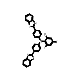 Fc1cc(F)c(N(c2ccc(-c3nc4ccccc4s3)cc2)c2ccc(-c3nc4ccccc4s3)cc2)c(F)c1